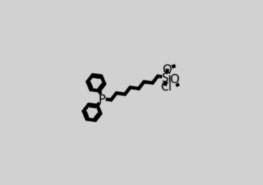 CO[Si](Cl)(CCCCCCCCP(c1ccccc1)c1ccccc1)OC